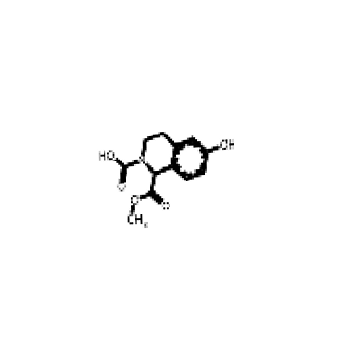 COC(=O)C1c2ccc(O)cc2CCN1C(=O)O